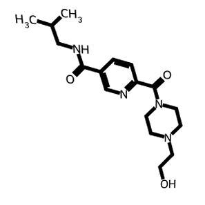 CC(C)CNC(=O)c1ccc(C(=O)N2CCN(CCO)CC2)nc1